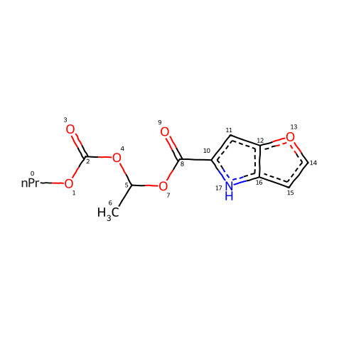 CCCOC(=O)OC(C)OC(=O)c1cc2occc2[nH]1